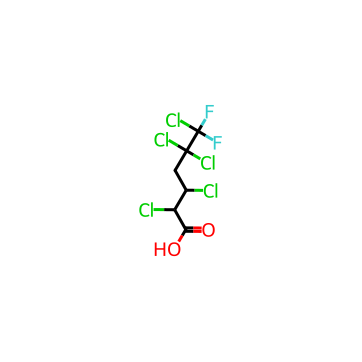 O=C(O)C(Cl)C(Cl)CC(Cl)(Cl)C(F)(F)Cl